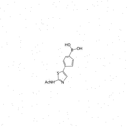 CC(=O)Nc1ncc(-c2ccc(B(O)O)cc2)s1